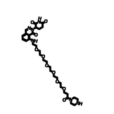 O=C1CCC(n2ncc3cccc(NCCOCCOCCOCCOCCOCCOCCC(=O)N4CCNCC4)c3c2=O)C(=O)N1